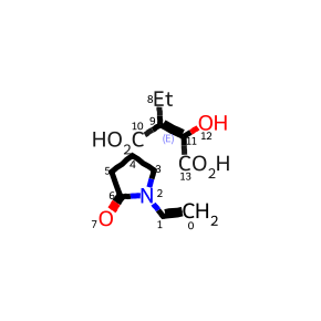 C=CN1CCCC1=O.CC/C(C(=O)O)=C(\O)C(=O)O